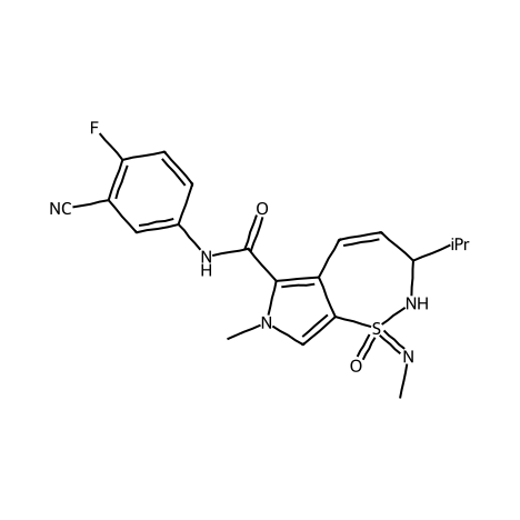 CN=S1(=O)NC(C(C)C)C=Cc2c1cn(C)c2C(=O)Nc1ccc(F)c(C#N)c1